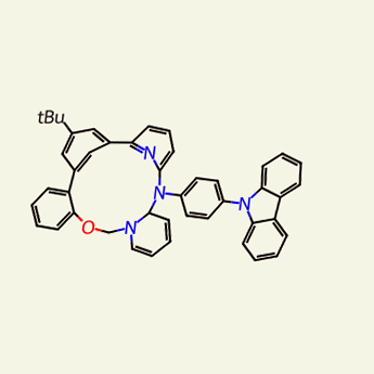 CC(C)(C)c1cc2cc(c1)-c1ccccc1OCN1C=CC=CC1N(c1ccc(-n3c4ccccc4c4ccccc43)cc1)c1cccc-2n1